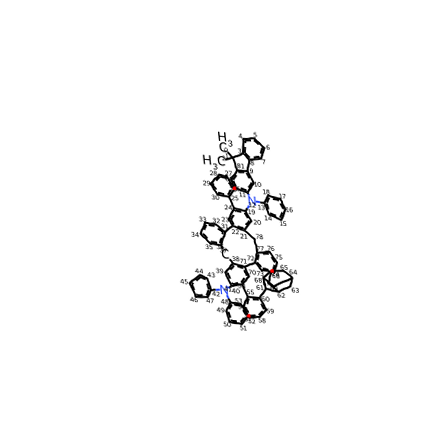 CC1(C)c2ccccc2-c2cc(N(c3ccccc3)c3cc4c(cc3-c3ccccc3)-c3ccccc3Cc3cc(N(c5ccccc5)c5ccccc5)c(-c5ccccc5C5C6CC7CC(C6)C5C7)cc3-c3ccccc3C4)ccc21